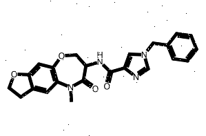 CN1C(=O)C(NC(=O)c2cn(Cc3ccccc3)cn2)COc2cc3c(cc21)CCO3